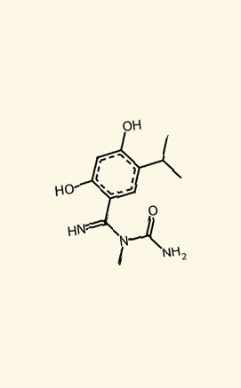 CC(C)c1cc(C(=N)N(C)C(N)=O)c(O)cc1O